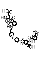 CC(C)(O)c1cc2nc([C@H]3CC[C@H](CN4CCC(CCNc5cccc6c5C(=O)N(C(CCC(=O)O)C(=O)O)C6=O)CC4)CC3)sc2cc1NC(=O)c1cccc(C(F)(F)F)n1